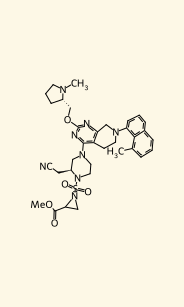 COC(=O)C1CN1S(=O)(=O)N1CCN(c2nc(OC[C@@H]3CCCN3C)nc3c2CCN(c2cccc4cccc(C)c24)C3)C[C@@H]1CC#N